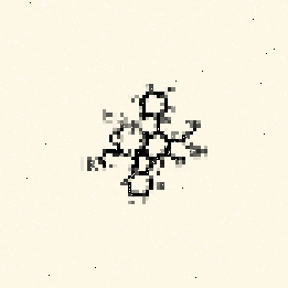 CC[C@@H]1O[C@](C)(CO)n2c3ccccc3c3c4c(c5c6ccccc6n1c5c32)C(=O)NC4